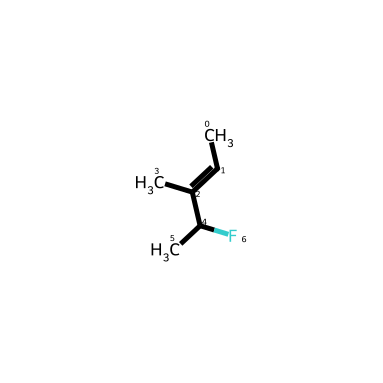 C/C=C(\C)C(C)F